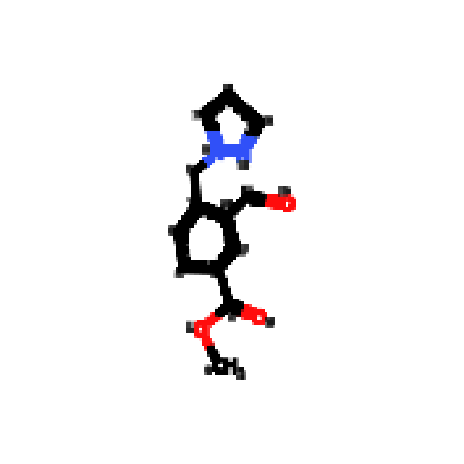 COC(=O)c1ccc(Cn2cccn2)c(C=O)c1